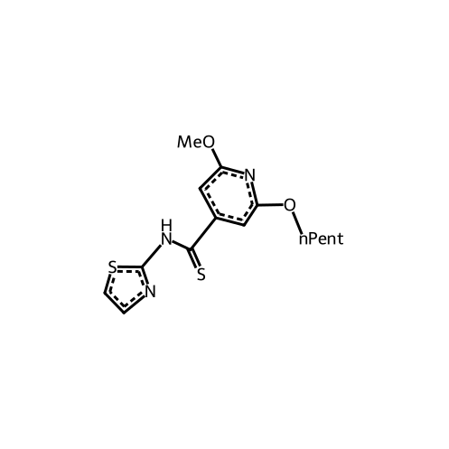 CCCCCOc1cc(C(=S)Nc2nccs2)cc(OC)n1